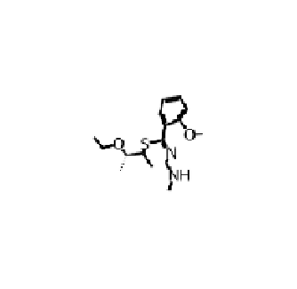 CCO[C@@H](C)C(C)S/C(=N\CNC)c1ccccc1OC